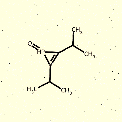 CC(C)C1=C(C(C)C)[PH]1=O